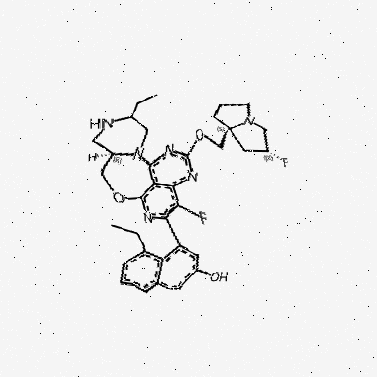 CCc1cccc2cc(O)cc(-c3nc4c5c(nc(OC[C@@]67CCCN6C[C@H](F)C7)nc5c3F)N3CC(CC)NC[C@@H]3CO4)c12